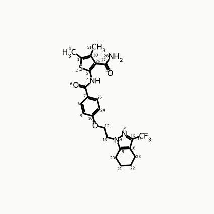 Cc1sc(NC(=O)c2ccc(OCCn3nc(C(F)(F)F)c4c3CCCC4)cc2)c(C(N)=O)c1C